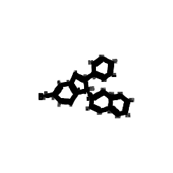 Brc1ccc2c(c1)cc(-c1ccccc1)n2-c1ccc2ccccc2c1